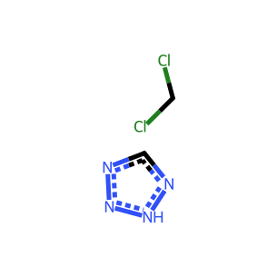 ClCCl.c1nn[nH]n1